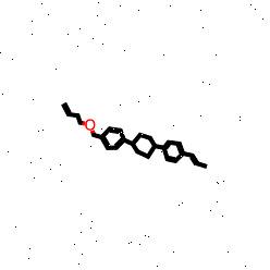 C=CCCOCc1ccc(C2CCC(c3ccc(C=CC)cc3)CC2)cc1